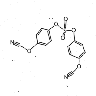 N#COc1ccc(OS(=O)(=O)Oc2ccc(OC#N)cc2)cc1